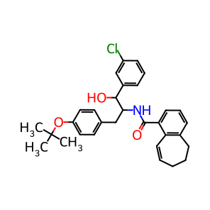 CC(C)(C)Oc1ccc(CC(NC(=O)c2cccc3c2C=CCCC3)C(O)c2cccc(Cl)c2)cc1